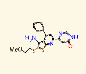 COCCSc1sc2nc(-c3cc(=O)[nH]cn3)cc(-c3ccccc3)c2c1N